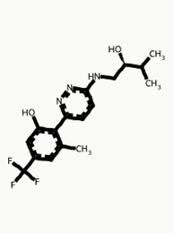 Cc1cc(C(F)(F)F)cc(O)c1-c1ccc(NC[C@@H](O)C(C)C)nn1